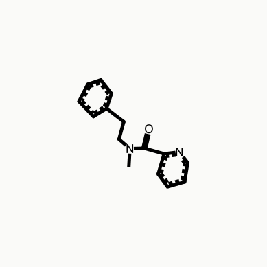 CN(CCc1ccccc1)C(=O)c1ccccn1